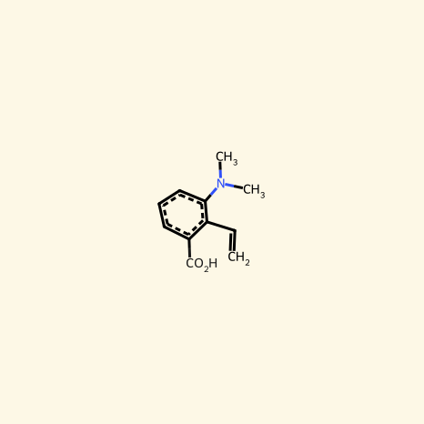 C=Cc1c(C(=O)O)cccc1N(C)C